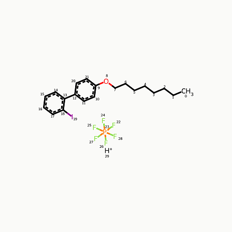 CCCCCCCCOc1ccc(-c2ccccc2I)cc1.F[P-](F)(F)(F)(F)F.[H+]